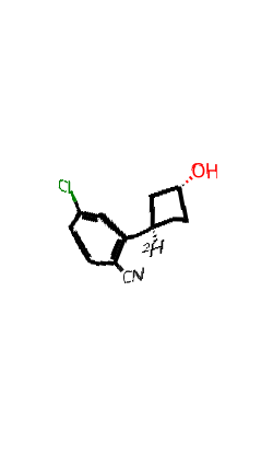 [2H][C@]1(c2cc(Cl)ccc2C#N)C[C@H](O)C1